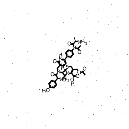 CC(=O)OCC1=C(C(=O)O)N2C(=O)C(N(Cc3ccc(-c4ccc(N(C(C)=O)C(=O)[C@@H](C)N)cc4)[nH]c3=O)C(=O)C(N)c3ccc(O)cc3)[C@@H]2SC1